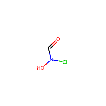 O=CN(O)Cl